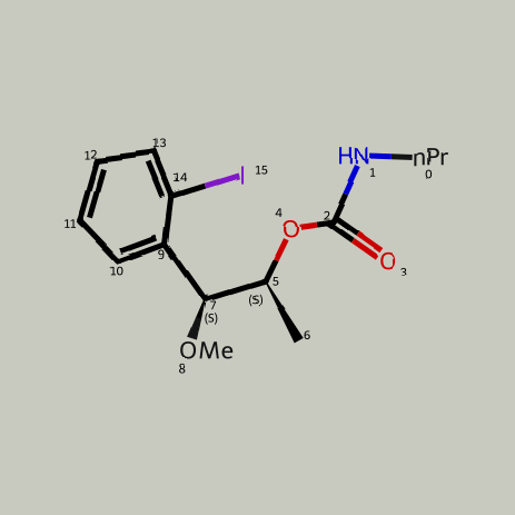 CCCNC(=O)O[C@@H](C)[C@@H](OC)c1ccccc1I